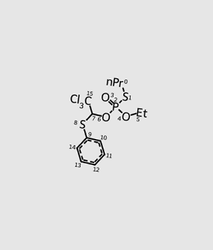 CCCSP(=O)(OCC)OC(Sc1ccccc1)C(Cl)(Cl)Cl